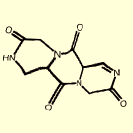 O=C1CN2C(=O)C3CNC(=O)CN3C(=O)C2C=N1